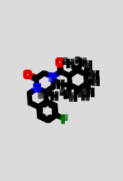 [2H]C1([2H])C(C(=O)N2CC(=O)N3CCc4ccc(F)cc4[C@H]3C2)C([2H])([2H])C([2H])([2H])C([2H])([2H])C1([2H])[2H]